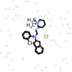 Cc1ccccc1N(CC[C@H]1CCCC[N+]1(C)C)C1Cc2ccccc2C1.[Cl-]